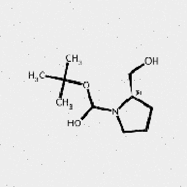 CC(C)(C)OC(O)N1CCC[C@@H]1CO